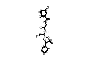 CC(C)CC(NC(=O)CNC(=O)c1cc(Cl)ccc1F)B1OC(=O)C(c2ccccc2)O1